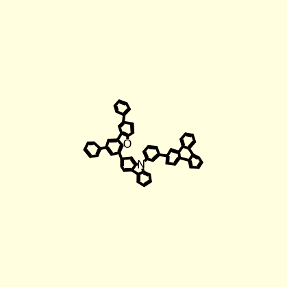 c1ccc(-c2ccc3oc4c(-c5ccc6c7ccccc7n(-c7cccc(-c8ccc9c%10ccccc%10c%10ccccc%10c9c8)c7)c6c5)cc(-c5ccccc5)cc4c3c2)cc1